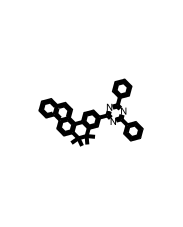 CC1(C)c2cc(-c3nc(-c4ccccc4)nc(-c4ccccc4)n3)ccc2-c2c(ccc3c2ccc2ccccc23)C1(C)C